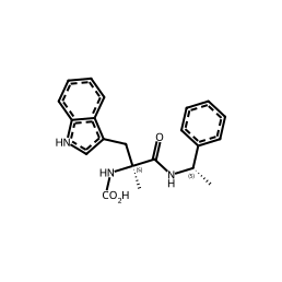 C[C@H](NC(=O)[C@](C)(Cc1c[nH]c2ccccc12)NC(=O)O)c1ccccc1